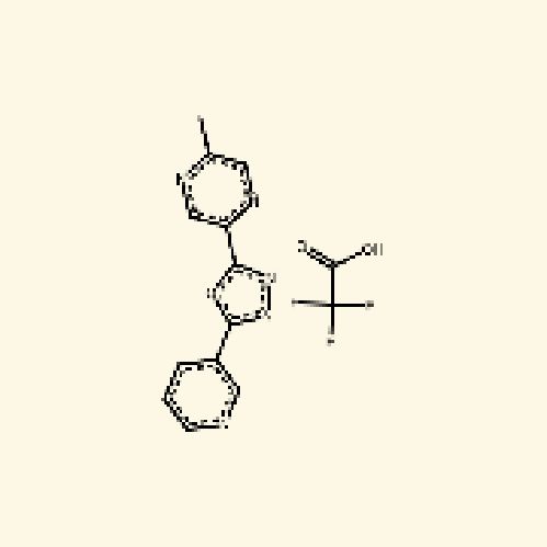 Cc1cnc(-c2nnc(-c3cccnc3)o2)cn1.O=C(O)C(F)(F)F